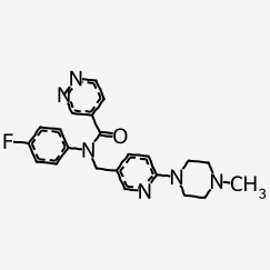 CN1CCN(c2ccc(CN(C(=O)c3ccnnc3)c3ccc(F)cc3)cn2)CC1